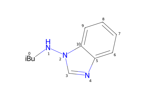 CCC(C)Nn1cnc2ccccc21